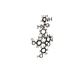 COc1ccc(-c2oc3ncnc(N[C@H]4CC[C@H](NC(=O)c5ccc[nH]5)CC4)c3c2-c2ccc(OC)cc2)cc1